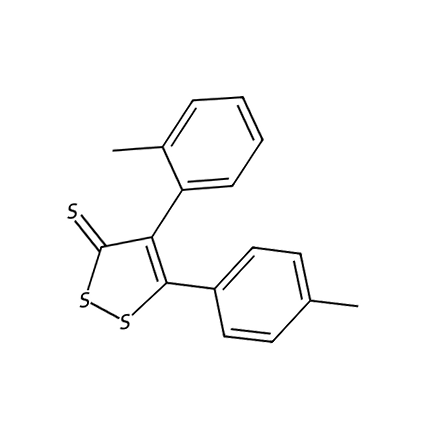 Cc1ccc(-c2ssc(=S)c2-c2ccccc2C)cc1